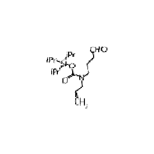 C=CCN(CCCC=O)C(=O)O[Si](C(C)C)(C(C)C)C(C)C